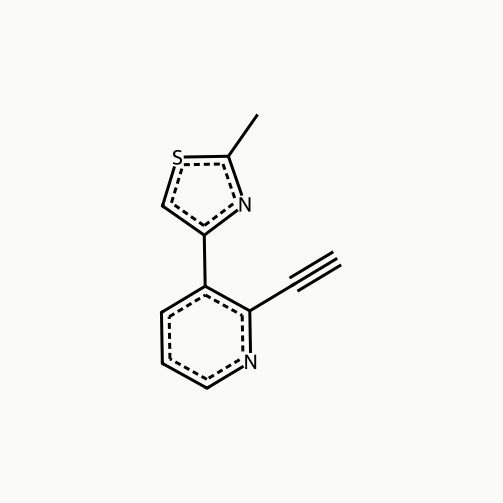 C#Cc1ncccc1-c1csc(C)n1